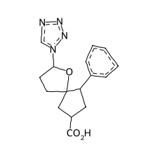 O=C(O)C1CC(c2ccccc2)C2(CCC(n3cnnn3)O2)C1